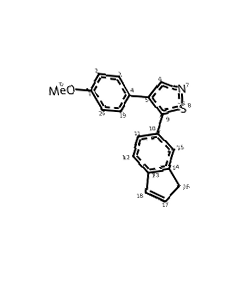 COc1ccc(-c2cnsc2-c2ccc3c(c2)CC=C3)cc1